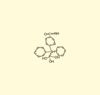 N=C=O.OP(O)(O)=[SH](c1ccccc1)(c1ccccc1)c1ccccc1